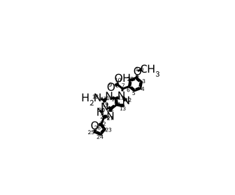 COc1cccc(C(C(=O)O)n2ncc3c2nc(N)n2nc(-c4ccco4)nc32)c1